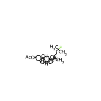 CC(=O)O[C@H]1CC[C@@]2(C)C(=CC[C@H]3[C@@H]4CC[C@H]([C@H](C)CCCC(C)(C)F)[C@@]4(C)CC[C@@H]32)C1